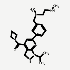 CNCCN(C)Cc1cccc(-c2cc(C(=O)N3CCC3)c3c(n2)N(C(C)C)NC3)c1